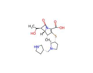 CC(O)[C@H]1C(=O)N2C(C(=O)O)=C(S[C@@H]3CCN(C[C@@H]4CCNC4)C3)[C@H](C)[C@H]12